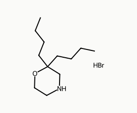 Br.CCCCC1(CCCC)CNCCO1